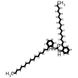 CCCCCCCCCCCCCCCCc1ccccc1NC(=O)Nc1ccccc1CCCCCCCCCCCCCCCC